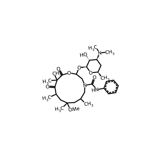 COC1(C)CC(C)CN(C(=O)Nc2ccccc2)CC(O[C@@H]2O[C@H](C)C[C@H](N(C)C)[C@H]2O)OC(=O)C(C)(C)C(=O)C(C)C1